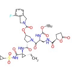 C=C[C@@H]1C[C@]1(NC(=O)[C@@H]1C[C@@H](OC(=O)N2Cc3cccc(F)c3C2)CN1C(=O)[C@H](CNC(=O)[C@H]1CCC(=O)O1)NC(=O)OC(C)(C)C)C(=O)NS(=O)(=O)C1CC1